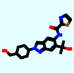 CC(C)(O)c1cc2nn(C3CCC(CO)CC3)cc2cc1NC(=O)c1nccs1